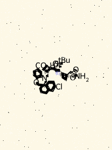 CC(C)(C)[Si](C)(C)O[C@@H](/C=C/[C@H]1CC[C@@H]1CS(N)(=O)=O)[C@@H]1CC[C@H]1CN1C[C@@]2(CCCc3cc(Cl)ccc32)COc2ccc(C(=O)O)cc21